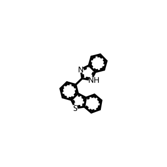 c1ccc2[nH]c(-c3cccc4sc5ccccc5c34)nc2c1